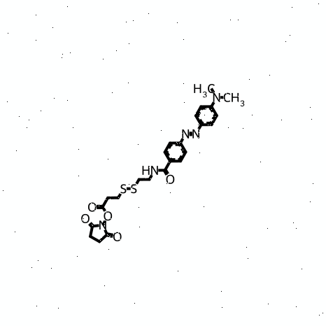 CN(C)c1ccc(/N=N/c2ccc(C(=O)NCCSSCCC(=O)ON3C(=O)CCC3=O)cc2)cc1